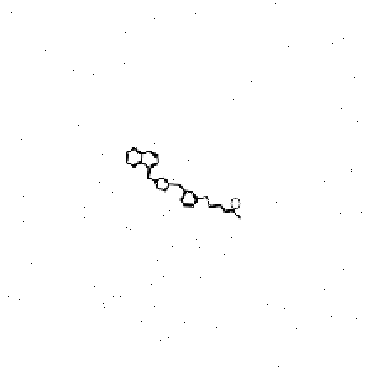 CC(=O)CCCCc1cccc(CC2CCC(Cc3cccc4ccccc34)C2)c1